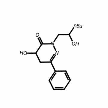 CCCCC(O)CN1N=C(c2ccccc2)CC(O)C1=O